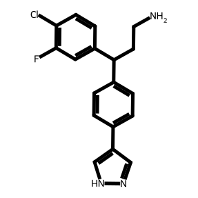 NCCC(c1ccc(-c2cn[nH]c2)cc1)c1ccc(Cl)c(F)c1